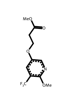 COC(=O)CCOc1cnc(OC)c(C(F)(F)F)c1